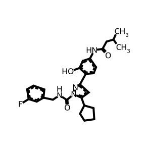 CC(C)CC(=O)Nc1ccc(-c2cc(C3CCCC3)n(C(=O)NCc3cccc(F)c3)n2)c(O)c1